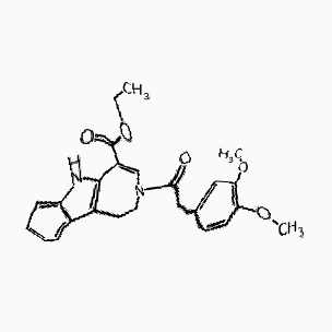 CCOC(=O)C1=CN(C(=O)Cc2ccc(OC)c(OC)c2)CCc2c1[nH]c1ccccc21